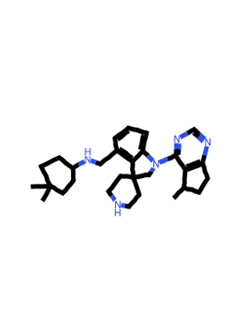 CC1CCc2ncnc(N3CC4(CCNCC4)c4c(CNC5CCC(C)(C)CC5)cccc43)c21